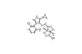 O[C@H]1CO[C@H]2[C@@H]1OC[C@@H]2OCc1c(-c2c(Cl)cccc2Cl)noc1C1CC1